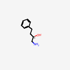 NC[C@H](O)CCc1ccccc1